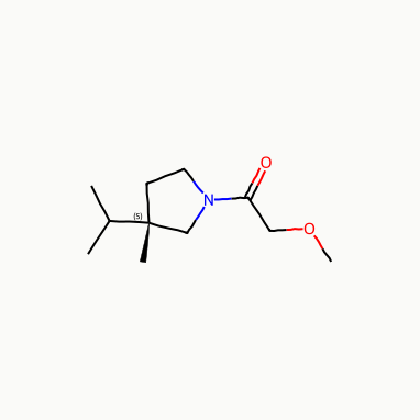 COCC(=O)N1CC[C@@](C)(C(C)C)C1